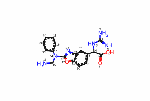 N=C(N)NC(C(=O)O)c1ccc2oc(N(CN)c3ccccc3)nc2c1